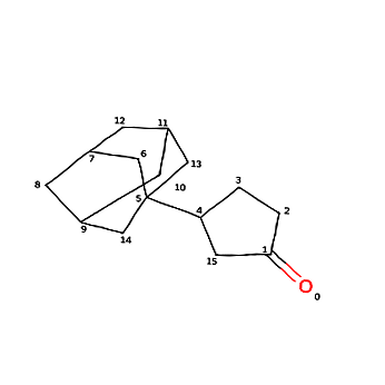 O=C1CCC(C23CC4CC(CC(C4)C2)C3)C1